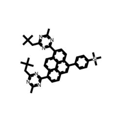 Cc1nc(CC(C)(C)C)nc(-c2ccc3cc(-c4ccc([Si](C)(C)C)cc4)c4ccc(-c5nc(C)nc(CC(C)(C)C)n5)c5ccc2c3c45)n1